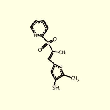 Cc1sc(C=C(C#N)S(=O)(=O)c2ccccn2)cc1S